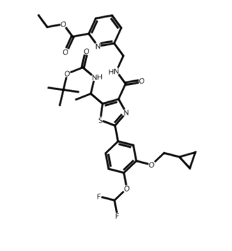 CCOC(=O)c1cccc(CNC(=O)c2nc(-c3ccc(OC(F)F)c(OCC4CC4)c3)sc2C(C)NC(=O)OC(C)(C)C)n1